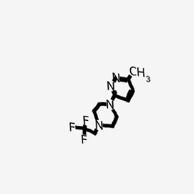 Cc1ccc(N2CCN(CC(F)(F)F)CC2)nn1